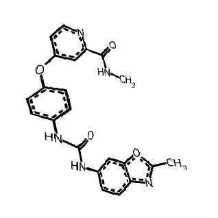 CNC(=O)c1cc(Oc2ccc(NC(=O)Nc3ccc4nc(C)oc4c3)cc2)ccn1